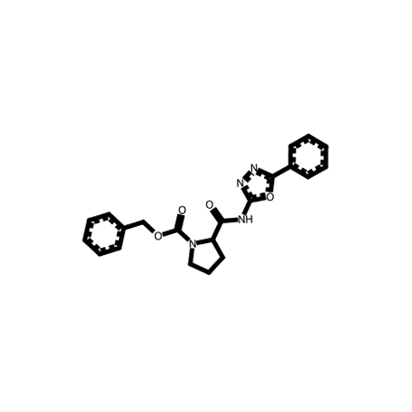 O=C(Nc1nnc(-c2ccccc2)o1)C1CCCN1C(=O)OCc1ccccc1